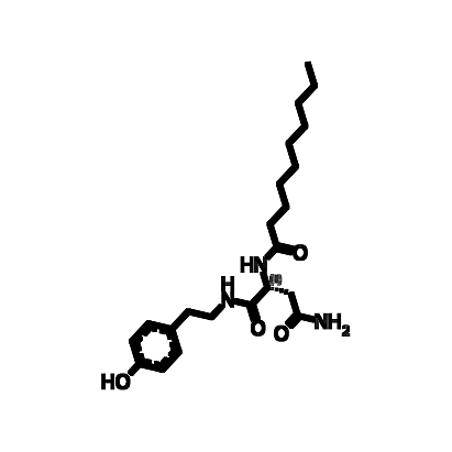 CCCCCCCCCC(=O)N[C@H](CC(N)=O)C(=O)NCCc1ccc(O)cc1